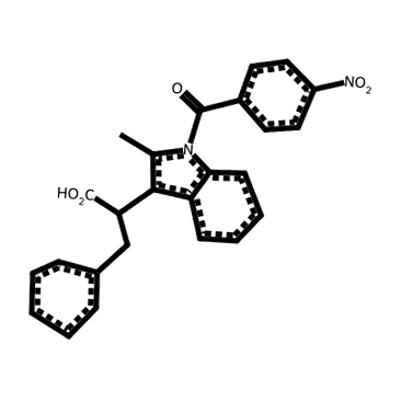 Cc1c(C(Cc2ccccc2)C(=O)O)c2ccccc2n1C(=O)c1ccc([N+](=O)[O-])cc1